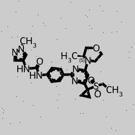 CCS(=O)(=O)C1(c2cc(N3CCOC[C@@H]3C)nc(-c3ccc(NC(=O)Nc4cnn(C)c4)cc3)n2)CC1